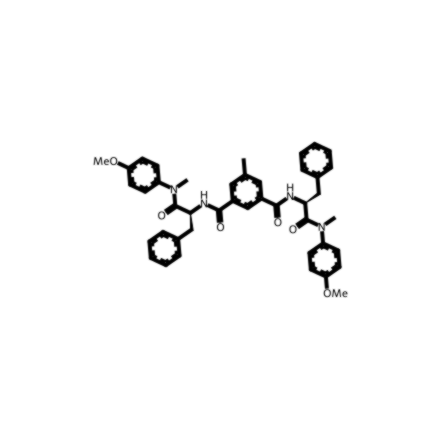 COc1ccc(N(C)C(=O)[C@H](Cc2ccccc2)NC(=O)c2cc(C)cc(C(=O)N[C@@H](Cc3ccccc3)C(=O)N(C)c3ccc(OC)cc3)c2)cc1